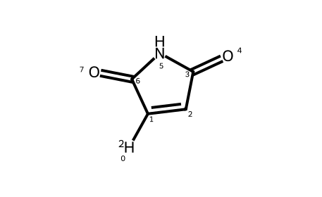 [2H]C1=CC(=O)NC1=O